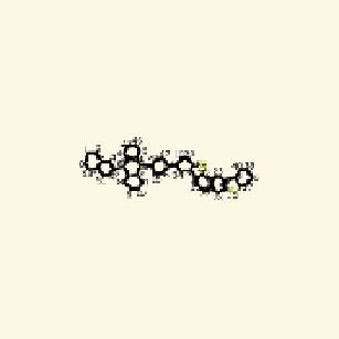 c1ccc2cc(-c3c4ccccc4c(-c4ccc(-c5ccc6sc7c8cc9c(cc8ccc7c6c5)sc5ccccc59)cc4)c4ccccc34)ccc2c1